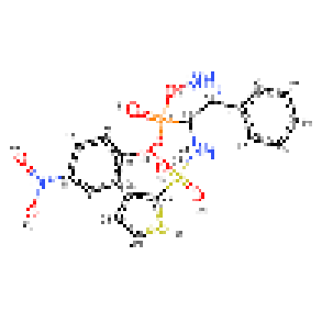 NOP(=O)(Oc1ccc([N+](=O)[O-])cc1)C(Cc1ccccc1)NS(=O)(=O)c1cccs1